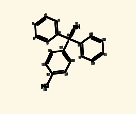 N=P(c1ccccc1)(c1ccccc1)c1ccc(O)cc1